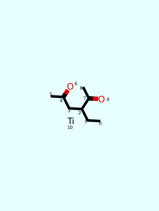 CCC(CC(C)=O)C(C)=O.[Ti]